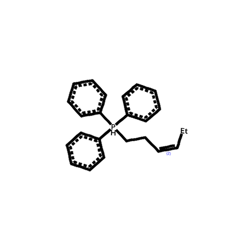 CC/C=C\CC[PH](c1ccccc1)(c1ccccc1)c1ccccc1